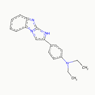 CCN(CC)c1ccc(-c2cn3c(nc4ccccc43)[nH]2)cc1